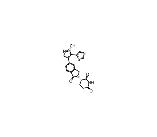 Cn1ncc(-c2ccc3c(c2)CN([C@H]2CCC(=O)NC2=O)C3=O)c1-c1cncs1